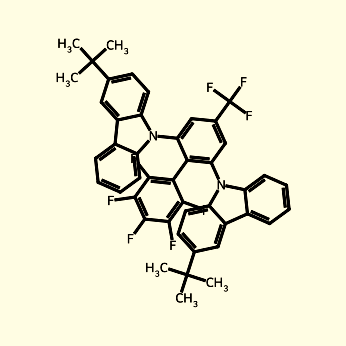 CC(C)(C)c1ccc2c(c1)c1ccccc1n2-c1cc(C(F)(F)F)cc(-n2c3ccccc3c3cc(C(C)(C)C)ccc32)c1-c1c(F)c(F)c(F)c(F)c1F